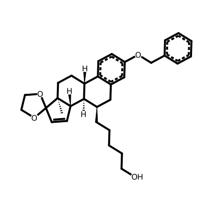 C[C@]12CC[C@@H]3c4ccc(OCc5ccccc5)cc4C[C@@H](CCCCCO)[C@H]3[C@@H]1C=CC21OCCO1